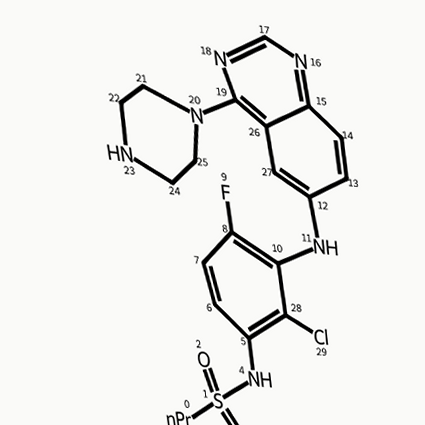 CCCS(=O)(=O)Nc1ccc(F)c(Nc2ccc3ncnc(N4CCNCC4)c3c2)c1Cl